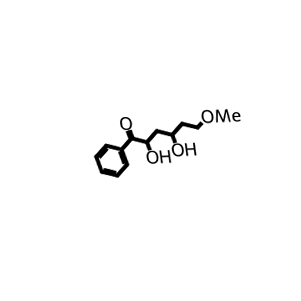 COCCC(O)CC(O)C(=O)c1ccccc1